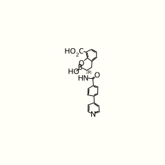 O=C(N[C@H]1Cc2cccc(C(=O)O)c2OB1O)c1ccc(-c2ccncc2)cc1